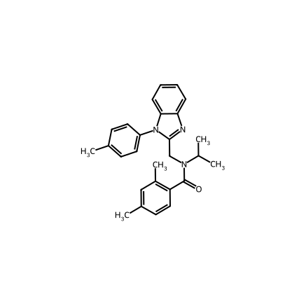 Cc1ccc(-n2c(CN(C(=O)c3ccc(C)cc3C)C(C)C)nc3ccccc32)cc1